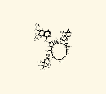 COc1cc2ccnc(O[C@@H]3C[C@H]4C(=O)N[C@]5(C(=O)NS(=O)(=O)C6(C)CC6)C[C@H]5/C=C\CC[C@H](C)C[C@@H](C)[C@H](NC(=O)OC(C)(C)C(C)(F)F)C(=O)N4C3)c2cc1OC